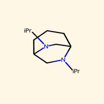 CC(C)N1CC2CCCC1CN2C(C)C